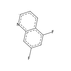 Fc1cc(F)c2cc[c]nc2c1